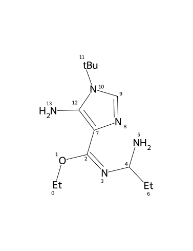 CCO/C(=N/C(N)CC)c1ncn(C(C)(C)C)c1N